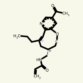 C=CC(=O)NC[C@H]1CCOc2cc(C(C)=O)cnc2/C=C(\CCC)C1